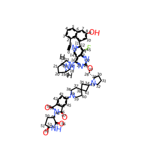 C#Cc1cccc2cc(O)cc(-c3ncc4c(N5C[C@H]6CC[C@@H](C5)N6)nc(OC[C@@H]5CCCN5C5CC6(CCN(c7ccc8c(c7)C(=O)N(C7CCC(=O)NC7=O)C8=O)CC6)C5)nc4c3F)c12